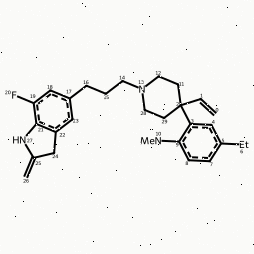 C=CC1(c2cc(CC)ccc2NC)CCN(CCCc2cc(F)c3c(c2)CC(=C)N3)CC1